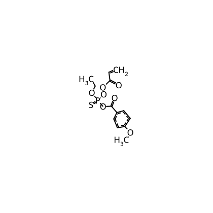 C=CC(=O)OOP(=S)(OCC)OC(=O)c1ccc(OC)cc1